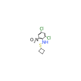 O=[N+]([O-])c1cc(Cl)cc(Cl)c1NSC1CCC1